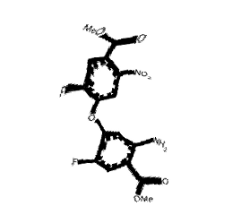 COC(=O)c1cc(F)c(Oc2cc([N+](=O)[O-])c(C(=O)OC)cc2F)cc1N